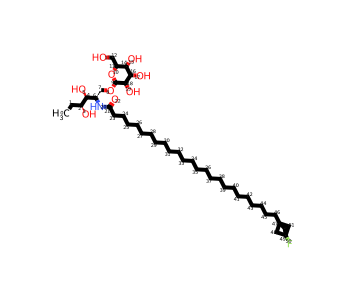 CC[C@@H](O)[C@@H](O)[C@H](COC1OC(CO)C(O)C(O)C1O)NC(=O)CCCCCCCCCCCCCCCCCCCCCCCCC12CC(F)(C1)C2